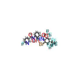 O=C(Nc1c(Br)cc(C(F)(C(F)(F)F)C(F)(F)F)cc1OC(F)F)c1cccc(N(O)C(=O)c2ccc(F)nc2)c1F